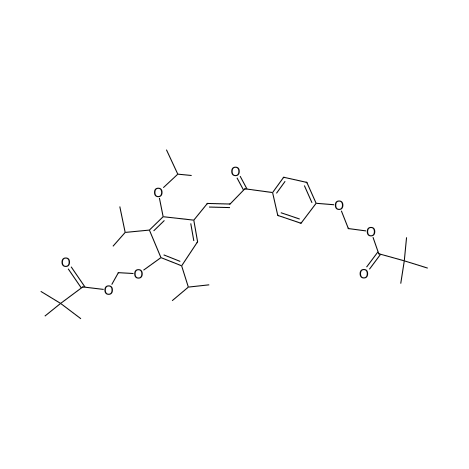 CC(C)Oc1c(C=CC(=O)c2ccc(OCOC(=O)C(C)(C)C)cc2)cc(C(C)C)c(OCOC(=O)C(C)(C)C)c1C(C)C